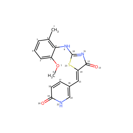 COc1cccc(C)c1NC1=NC(=O)C(=Cc2ccc(=O)[nH]c2)S1